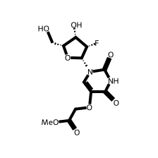 COC(=O)COc1cn([C@@H]2O[C@H](CO)[C@H](O)[C@@H]2F)c(=O)[nH]c1=O